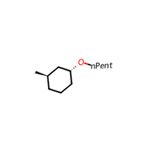 CCCCCO[C@@H]1CCC[C@@H](C)C1